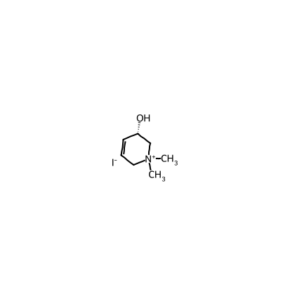 C[N+]1(C)CC=C[C@H](O)C1.[I-]